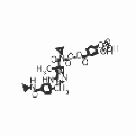 Cc1ccc(C(=O)NC2CC2)cc1Nc1ncnn2cc(C(=O)N(C(=O)OCOC(=O)c3ccc(OP(=O)(O)O)cc3)C3CC3)c(C)c12